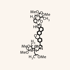 COC[C@@H](C)CN(Cc1ncc(-c2ccc3c(c2)COc2cc4c(ccc5nc([C@@H]6CC[C@H](C)N6C(=O)[C@@H](NC(=O)OC)[C@@H](C)OC)[nH]c54)cc2-3)[nH]1)C(=O)[C@@H](NC(=O)OC)[C@@H](C)OC